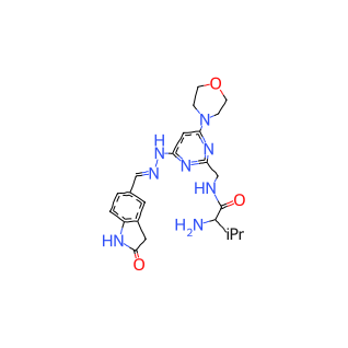 CC(C)C(N)C(=O)NCc1nc(NN=Cc2ccc3c(c2)CC(=O)N3)cc(N2CCOCC2)n1